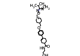 C=N/C(=N\OCN1CCC(COc2ccc(C3=CCC(C(=O)NCCO)CC3)cc2)CC1)C(C)C